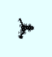 CN(C)CCCCNc1c(F)cc2c(=O)c(C(=O)NCCC3CCCN3C)cn3c4cc5c(=O)c6ccccc6c(=O)c5cc4oc1c23